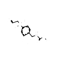 C=CC[Si](C)(C)c1ccc([C@H](NC(=O)OC(C)(C)C)C(=O)O)cc1